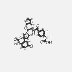 O=C(O)Nc1ccc(C(=O)N[C@@H](Cc2ccsc2)C(=O)N2CCC3(C2)OC(=O)Nc2ccc(Cl)cc23)cc1